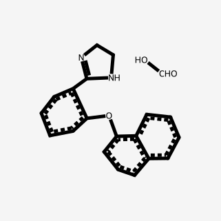 O=CO.c1ccc(C2=NCCN2)c(Oc2cccc3ccccc23)c1